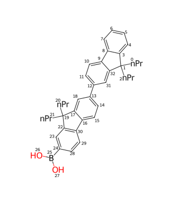 CCCC1(CCC)c2ccccc2-c2ccc(-c3ccc4c(c3)C(CCC)(CCC)c3cc(B(O)O)ccc3-4)cc21